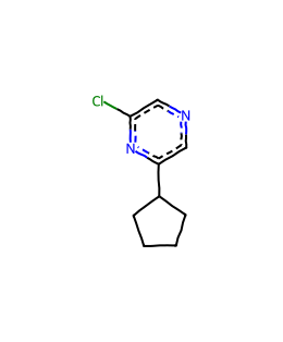 Clc1cncc(C2CCCC2)n1